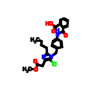 CCCCc1nc(CC(=O)OC)c(Cl)n1Cc1ccc(NC(=O)c2ccccc2C(=O)O)cc1